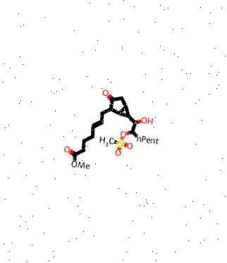 CCCCCC(OS(C)(=O)=O)C(O)C1C2CC(=O)C(CC=CCCCC(=O)OC)C21